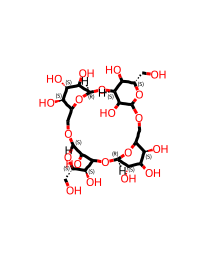 OC[C@@H]1OC2OCC3O[C@H](OC4C(O)[C@@H](OCC5O[C@H](O[C@H](C2O)C1O)C(O)[C@@H](O)[C@@H]5O)O[C@@H](CO)[C@@H]4O)[C@@H](O)C(O)[C@@H]3O